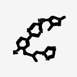 Cc1nn(C)cc1Nc1cnc(-c2ccc(C#N)c(OC(C)Cn3cncn3)c2)cn1